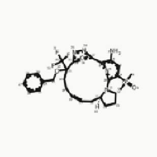 CP(C)(=O)c1cc(N)c2nc1N1CCC[C@H]1CC=CCCC(OCc1ccccc1)(C(F)(F)F)c1nnc-2o1